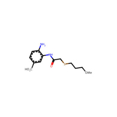 COCCCSCC(=O)Nc1cc(C(=O)O)ccc1N